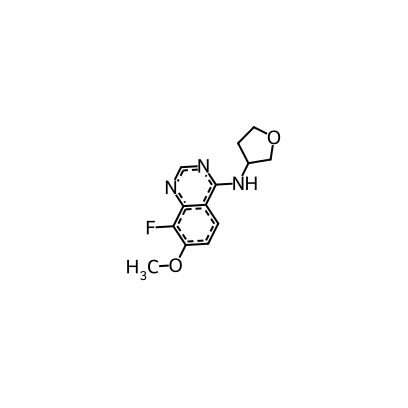 COc1ccc2c(NC3CCOC3)ncnc2c1F